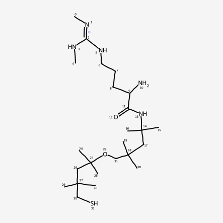 C/N=C(\NC)NCCCC(N)C(=O)NC(C)(C)CC(C)(C)COC(C)(C)CC(C)(C)CS